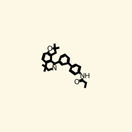 CCC(=O)Nc1ccc(-c2cccc(C3=NCC(C)(C)c4ccc5c(c43)CC(C)(C)O5)c2)cc1